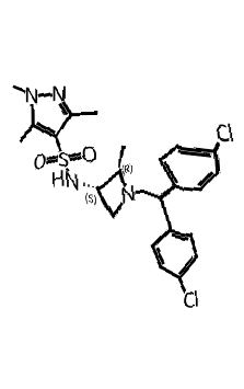 Cc1nn(C)c(C)c1S(=O)(=O)N[C@H]1CN(C(c2ccc(Cl)cc2)c2ccc(Cl)cc2)[C@@H]1C